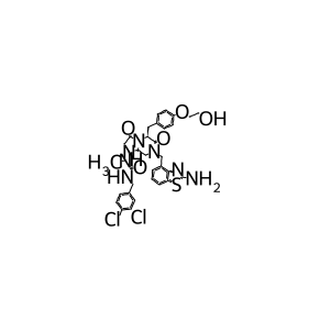 CN(C(=O)NCc1ccc(Cl)c(Cl)c1)N1CC(=O)N2[C@@H](Cc3ccc(OCCO)cc3)C(=O)N(Cc3cccc4sc(N)nc34)C[C@@H]21